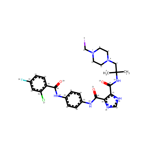 CC(C)(CN1CCN(CI)CC1)NC(=O)c1[nH]cnc1C(=O)Nc1ccc(NC(=O)c2ccc(F)cc2Cl)cc1